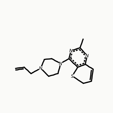 C=CCN1CCN(c2nc(C)nc3c2SCC=C3)CC1